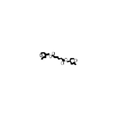 CC1CC(COC(=O)CCCCC(=O)OCC2CCOC(C)C2)CCO1